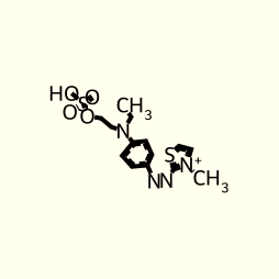 CCN(CCOS(=O)(=O)O)c1ccc(/N=N\c2scc[n+]2C)cc1